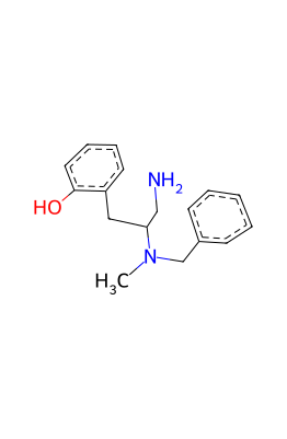 CN(Cc1ccccc1)C(CN)Cc1ccccc1O